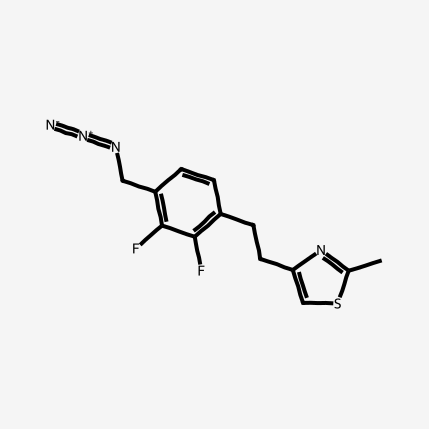 Cc1nc(CCc2ccc(CN=[N+]=[N-])c(F)c2F)cs1